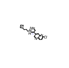 N=C/C(=C\NCCCN1CCC1)c1cnc2ccc(Cl)nc2c1